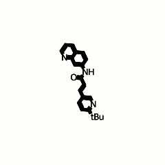 CC(C)(C)c1ccc(/C=C/C(=O)Nc2ccc3cccnc3c2)cn1